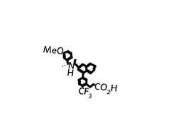 COc1cccc([C@@H](C)NC(C)c2cc(-c3ccc(C(F)(F)F)c(CCC(=O)O)c3)c3ccccc3c2)c1